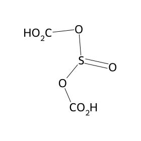 O=C(O)OS(=O)OC(=O)O